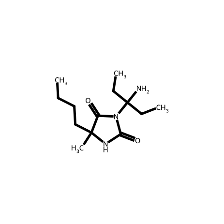 CCCCC1(C)NC(=O)N(C(N)(CC)CC)C1=O